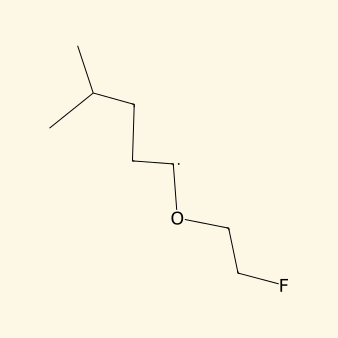 CC(C)CC[CH]OCCF